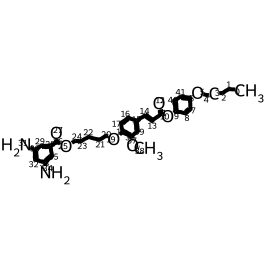 CCCCCOc1ccc(OC(=O)C=Cc2ccc(OCCCCCOC(=O)c3cc(N)cc(N)c3)c(OC)c2)cc1